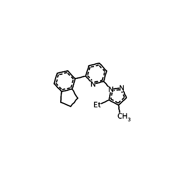 CCc1c(C)cnn1-c1cccc(-c2cccc3c2CCC3)n1